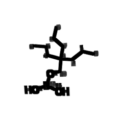 CCCC(CCC)(CCC)COB(O)O